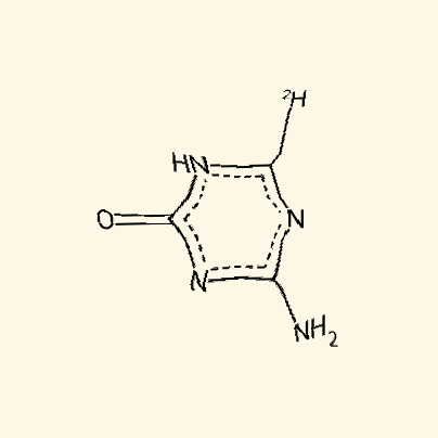 [2H]c1nc(N)nc(=O)[nH]1